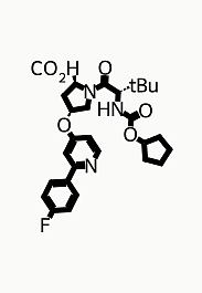 CC(C)(C)[C@H](NC(=O)OC1CCCC1)C(=O)N1C[C@H](Oc2ccnc(-c3ccc(F)cc3)c2)C[C@H]1C(=O)O